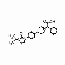 CC(C)n1ncn(-c2ccc(C3CCN(C(C(=O)O)c4ccccc4)CC3)cc2)c1=O